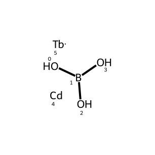 OB(O)O.[Cd].[Tb]